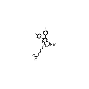 Cc1ccc(-c2nc3c(nc2-c2ccc(C)cc2)N(CCCCCCC(=O)[O-])CCC3)cc1.[Na+]